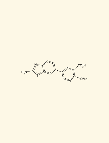 COc1ncc(-c2ccc3nc(N)sc3c2)cc1C(=O)O